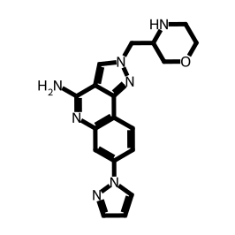 Nc1nc2cc(-n3cccn3)ccc2c2nn(CC3COCCN3)cc12